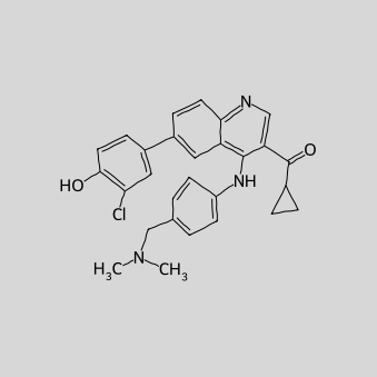 CN(C)Cc1ccc(Nc2c(C(=O)C3CC3)cnc3ccc(-c4ccc(O)c(Cl)c4)cc23)cc1